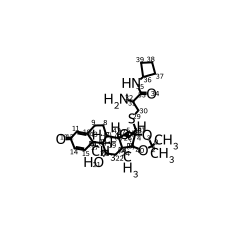 CC1(C)O[C@@H]2C[C@H]3[C@@H]4CCC5=CC(=O)C=C[C@]5(C)[C@@]4(F)[C@@H](O)C[C@]3(C)[C@]2(C(=O)CSCC(N)C(=O)NC2CCC2)O1